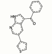 O=C(c1ccccc1)c1c[nH]c2ncc(-c3ccsc3)cc12